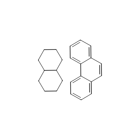 C1CCC2CCCCC2C1.c1ccc2c(c1)ccc1ccccc12